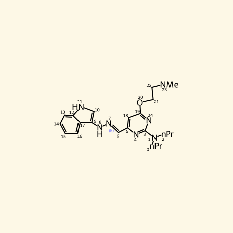 CCCN(CCC)c1nc(/C=N/Nc2c[nH]c3ccccc23)cc(OCCNC)n1